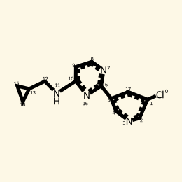 Clc1cncc(-c2nccc(NCC3CC3)n2)c1